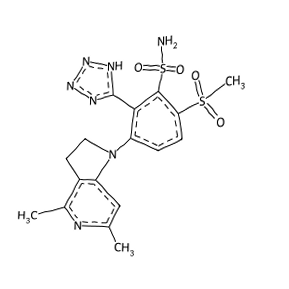 Cc1cc2c(c(C)n1)CCN2c1ccc(S(C)(=O)=O)c(S(N)(=O)=O)c1-c1nnn[nH]1